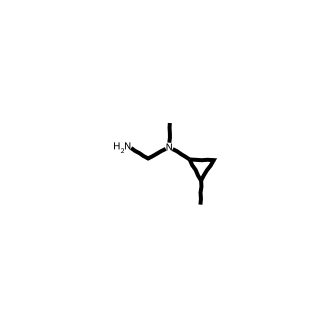 CC1CC1N(C)CN